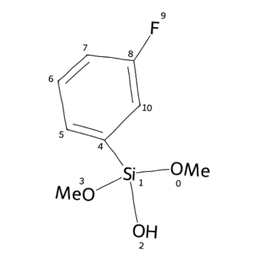 CO[Si](O)(OC)c1cccc(F)c1